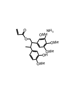 C=CC(=O)OCC(c1cc(OC)c(OC)c(OC)c1)C(C)c1ccc(OC)c(O)c1.N